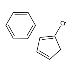 [Cr][C]1=CC=CC1.c1ccccc1